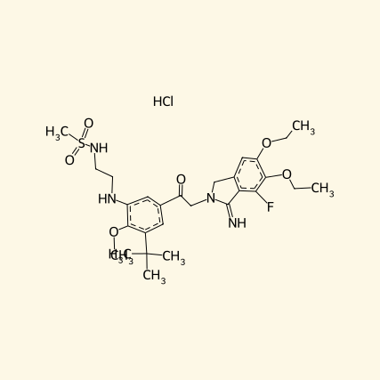 CCOc1cc2c(c(F)c1OCC)C(=N)N(CC(=O)c1cc(NCCNS(C)(=O)=O)c(OC)c(C(C)(C)C)c1)C2.Cl